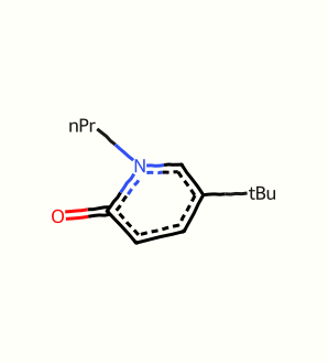 CCCn1cc(C(C)(C)C)ccc1=O